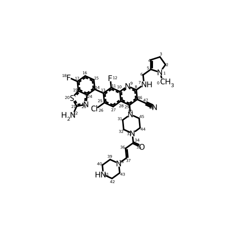 CN1CCC=C1CNc1nc2c(F)c(-c3ccc(F)c4sc(N)nc34)c(Cl)cc2c(N2CCN(C(=O)C=CN3CCNCC3)CC2)c1C#N